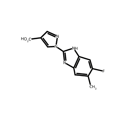 Cc1cc2nc(-n3cc(C(=O)O)cn3)[nH]c2cc1F